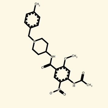 COc1cc(NC(C)=O)c([N+](=O)[O-])cc1C(=O)NC1CCN(Cc2ccc(C)cc2)CC1